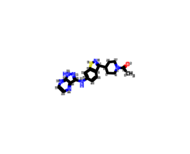 CC(=O)N1CCC(c2nsc3cc(Nc4n[nH]c5nccnc45)ccc23)CC1